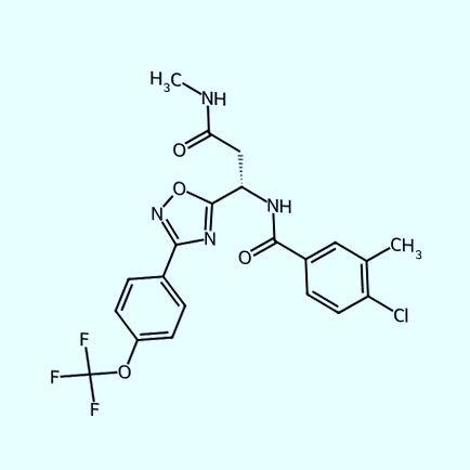 CNC(=O)C[C@H](NC(=O)c1ccc(Cl)c(C)c1)c1nc(-c2ccc(OC(F)(F)F)cc2)no1